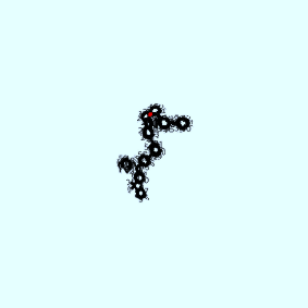 CC1(C)c2ccccc2-c2ccc(N(c3ccc(-c4cccc(-c5ccc6c7ccccc7n(-c7ccc(-c8ccccc8)cc7-c7ccccc7)c6c5)c4)cc3)c3cccnc3)cc21